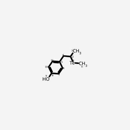 C[Te]C(C)Cc1ccc(O)cc1